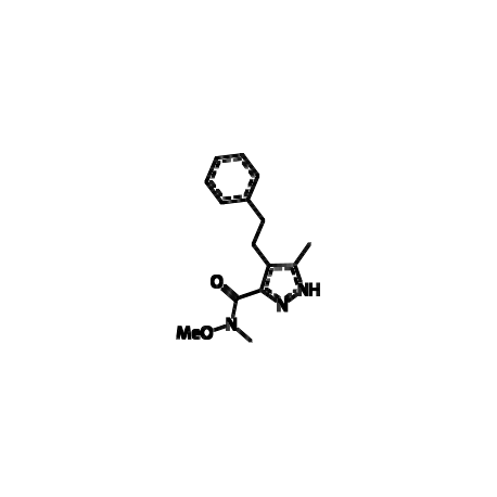 CON(C)C(=O)c1n[nH]c(C)c1CCc1ccccc1